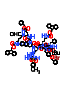 Cc1ccc(S(=O)(=O)NC(=N)NCCC[C@@H](NC(=O)[C@H](CCCCNC(=O)OCC2c3ccccc3-c3ccccc32)NC(=O)[C@H](Cc2ccc(OCc3ccccc3Br)cc2)NC(=O)[C@H](Cc2ccccc2)NC(=O)OC(C)(C)C)C(=O)N[C@@H](Cc2ccc3ccccc3c2)C(=O)NCC(=O)N[C@H](CCC(=O)OCc2ccccc2)C(=O)N[C@H](C=O)CCCCNC(=O)OCC2c3ccccc3-c3ccccc32)cc1